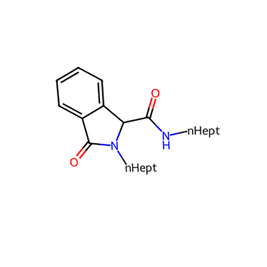 CCCCCCCNC(=O)C1c2ccccc2C(=O)N1CCCCCCC